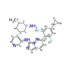 C[C@@H]1C[C@H](N)C[C@H](c2ccncc2Nc2ncc3ccc(-c4c(F)cc(C5CC5)cc4F)nn23)C1